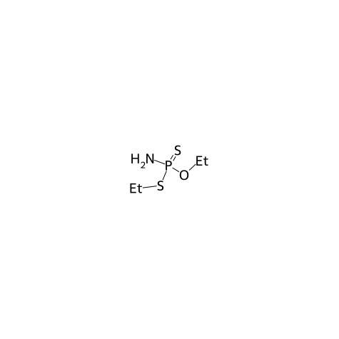 CCOP(N)(=S)SCC